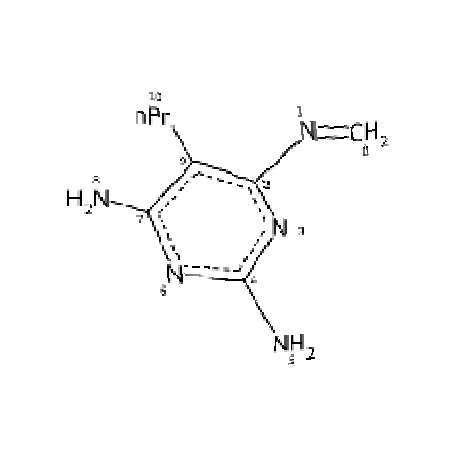 C=Nc1nc(N)nc(N)c1CCC